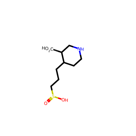 O=C(O)C1CNCCC1CCCS(=O)O